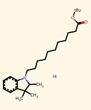 CC1N(CCCCCCCCCCC(=O)OC(C)(C)C)c2ccccc2C1(C)C.I